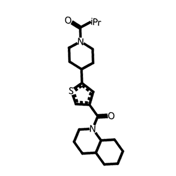 CC(C)C(=O)N1CCC(c2cc(C(=O)N3CCCC4CCCCC43)cs2)CC1